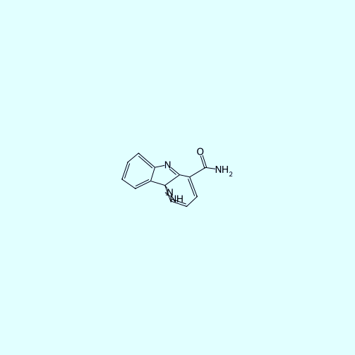 NC(=O)C1=CC=C2NC=NC23C1=Nc1ccccc13